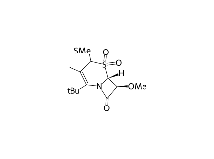 CO[C@H]1C(=O)N2C(C(C)(C)C)=C(C)C(SC)S(=O)(=O)[C@H]12